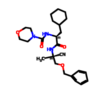 C[C@@](C#N)(COCc1ccccc1)NC(=O)[C@H](CC1CCCCC1)NC(=O)N1CCOCC1